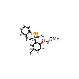 CCCC(C)(Pc1ccccc1C=O)c1cc(C)ccc1OCOC